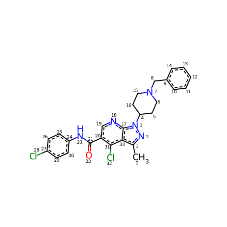 Cc1nn(C2CCN(Cc3ccccc3)CC2)c2ncc(C(=O)Nc3ccc(Cl)cc3)c(Cl)c12